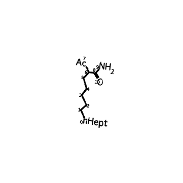 CCCCCCCCCCCCC(C(C)=O)C(N)=O